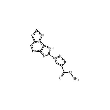 NOC(=O)c1cnn(-c2nc3ccc4scnc4c3[nH]2)c1